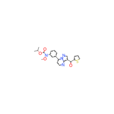 CON(C(=O)OC(C)C)c1cccc(-c2ccnc3c(C(=O)c4cccs4)cnn23)c1